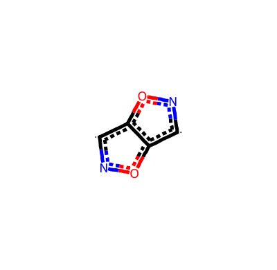 [c]1noc2[c]noc12